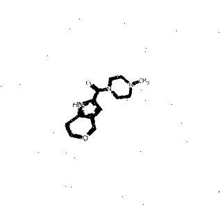 CN1CCN(C(=O)c2cc3c([nH]2)CCOC3)CC1